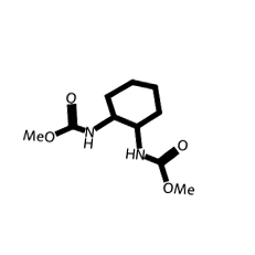 COC(=O)NC1CCCCC1NC(=O)OC